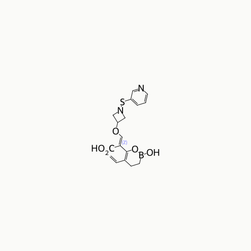 C=CC1=C(/C(=C/OC2CN(Sc3cccnc3)C2)C(=O)O)OB(O)CC1